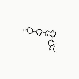 Nc1ccc(-c2ccnc3cc(-c4ccc(N5CCNCC5)cc4)oc23)cn1